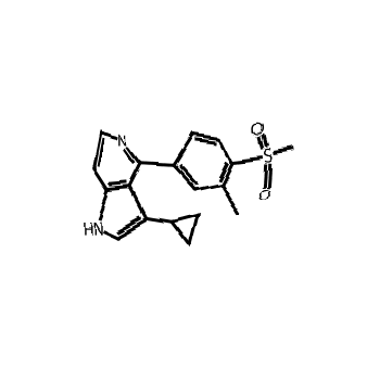 Cc1cc(-c2nccc3[nH]cc(C4CC4)c23)ccc1S(C)(=O)=O